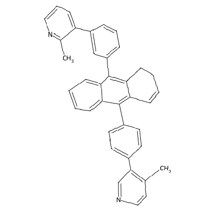 Cc1ccncc1-c1ccc(-c2c3c(c(-c4cccc(-c5cccnc5C)c4)c4ccccc24)CCC=C3)cc1